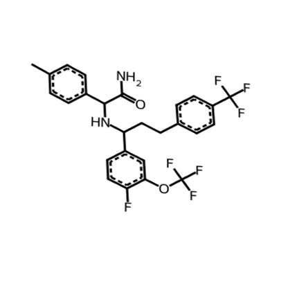 Cc1ccc(C(NC(CCc2ccc(C(F)(F)F)cc2)c2ccc(F)c(OC(F)(F)F)c2)C(N)=O)cc1